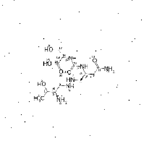 CC(O)[C@H](N)CNNC[C@H](CC(N)=O)NC(=O)N[C@@H](CO)C(=O)O